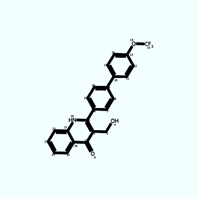 O=c1c(CO)c(-c2ccc(-c3ccc(OC(F)(F)F)cc3)cc2)[nH]c2ccccc12